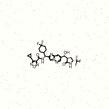 O=C(N[C@H](c1cn2ncc([C@H](O)[C@H]3C[C@H](C(F)(F)F)NC3=O)cc2n1)C1CCC(F)(F)CC1)c1nonc1C1CC1